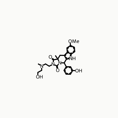 COc1ccc2[nH]c3c(c2c1)CC1(C)C(=O)N(CCN(C)CCO)C(=O)N1C3c1cccc(O)c1